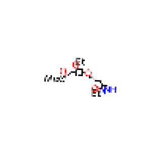 CCOc1cc(OCCCCc2c[nH]nc2OCC)ccc1CCC(=O)OC